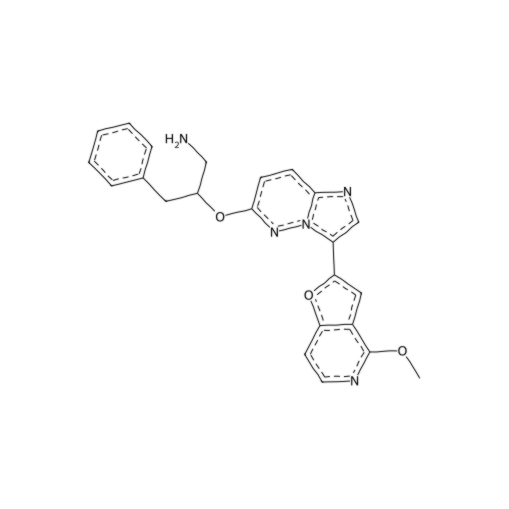 COc1nccc2oc(-c3cnc4ccc(OC(CN)Cc5ccccc5)nn34)cc12